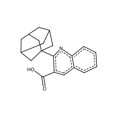 O=C(O)c1cc2ccccc2nc1C12CC3CC(CC(C3)C1)C2